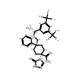 CC(=O)[C@]1(n2cn[nH]c2=O)CC[C@@](CO[C@H](C)c2cc(C(F)(F)F)cc(C(F)(F)F)c2)(c2ccccc2)CC1